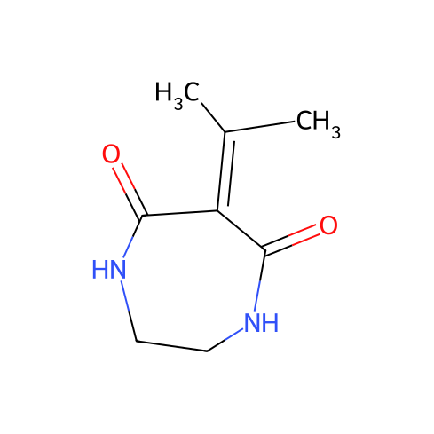 CC(C)=C1C(=O)NCCNC1=O